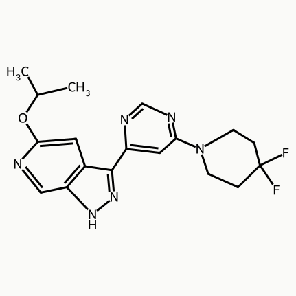 CC(C)Oc1cc2c(-c3cc(N4CCC(F)(F)CC4)ncn3)n[nH]c2cn1